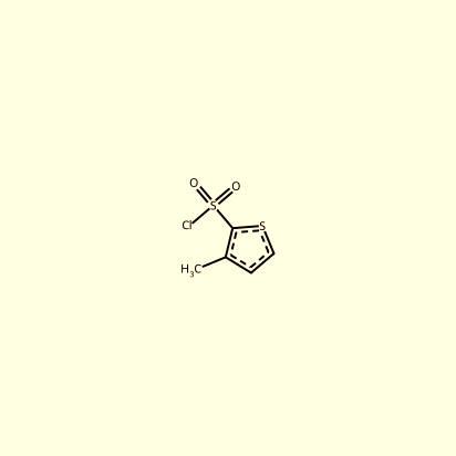 Cc1ccsc1S(=O)(=O)Cl